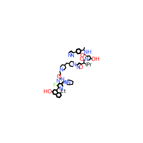 CCc1cccc2cc(O)cc(-c3ncc4c(N5CC6CCC(C5)N6)nc(OCCN5CCC(CC6CCN(c7cc(C(C(=O)N8C[C@H](O)C[C@H]8C(=O)NC(C)c8ccc(-c9ccnn9C)cc8)C(C)C)on7)CC6)CC5)nc4c3F)c12